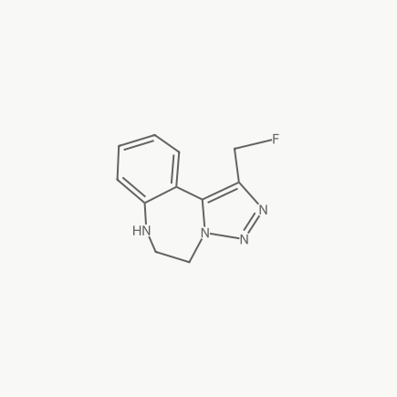 FCc1nnn2c1-c1ccccc1NCC2